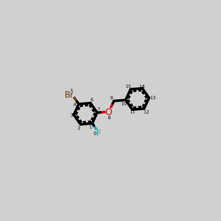 Fc1ccc(Br)cc1OCc1ccccc1